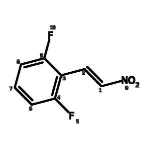 O=[N+]([O-])C=Cc1c(F)cccc1F